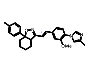 COc1cc(/C=C/C2=NOC3(c4ccc(C)cc4)CCCCC23)ccc1-n1cnc(C)c1